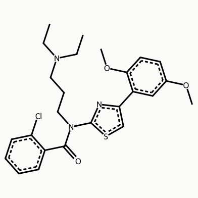 CCN(CC)CCCN(C(=O)c1ccccc1Cl)c1nc(-c2cc(OC)ccc2OC)cs1